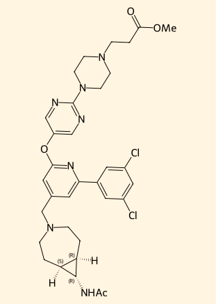 COC(=O)CCN1CCN(c2ncc(Oc3cc(CN4CC[C@@H]5[C@H](CC4)[C@H]5NC(C)=O)cc(-c4cc(Cl)cc(Cl)c4)n3)cn2)CC1